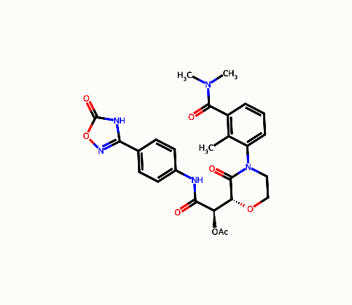 CC(=O)O[C@@H](C(=O)Nc1ccc(-c2noc(=O)[nH]2)cc1)[C@H]1OCCN(c2cccc(C(=O)N(C)C)c2C)C1=O